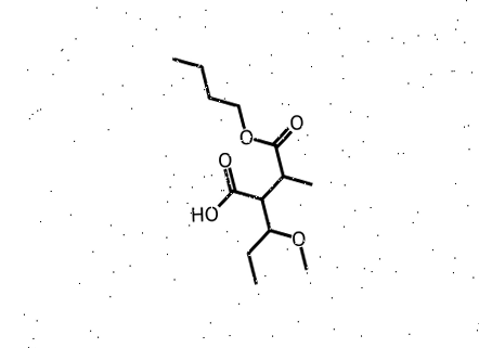 CCCCOC(=O)C(C)C(C(=O)O)C(CC)OC